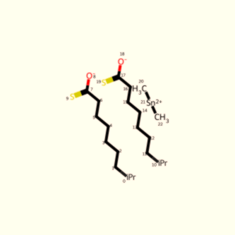 CC(C)CCCCCCC([O-])=S.CC(C)CCCCCCC([O-])=S.[CH3][Sn+2][CH3]